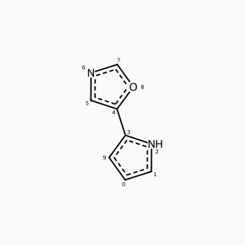 c1c[nH]c(-c2cnco2)c1